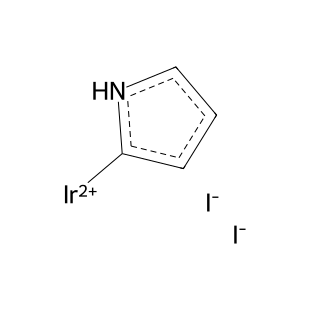 [I-].[I-].[Ir+2][c]1ccc[nH]1